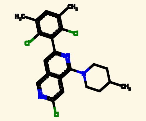 Cc1cc(C)c(Cl)c(-c2cc3cnc(Cl)cc3c(N3CCC(C)CC3)n2)c1Cl